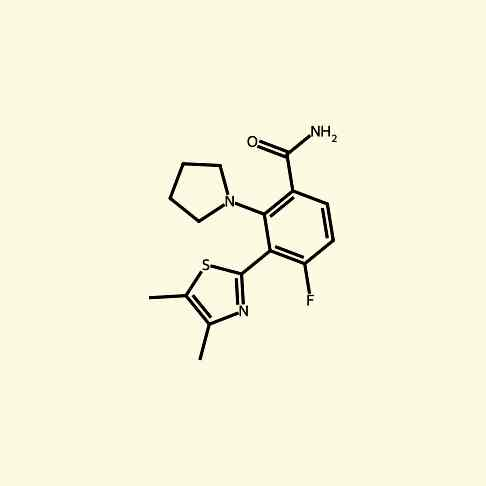 Cc1nc(-c2c(F)ccc(C(N)=O)c2N2CCCC2)sc1C